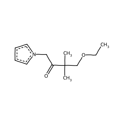 CCOCC(C)(C)C(=O)Cn1cccc1